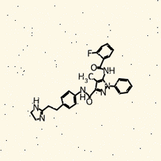 Cc1c(C(=O)Nc2ccc(CCC3=NCCN3)cc2)nn(-c2ccccc2)c1NC(=O)c1ccccc1F